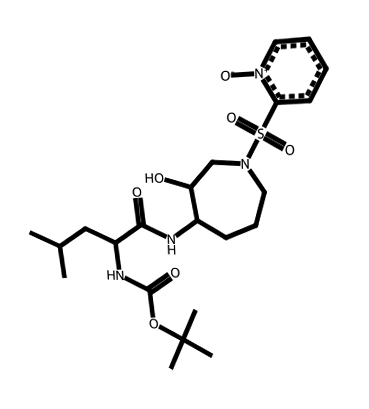 CC(C)CC(NC(=O)OC(C)(C)C)C(=O)NC1CCCN(S(=O)(=O)c2cccc[n+]2[O-])CC1O